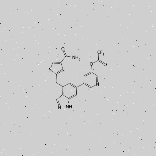 NC(=O)c1csc(Cc2cc(-c3cncc(OC(=O)C(F)(F)F)c3)cc3[nH]ncc23)n1